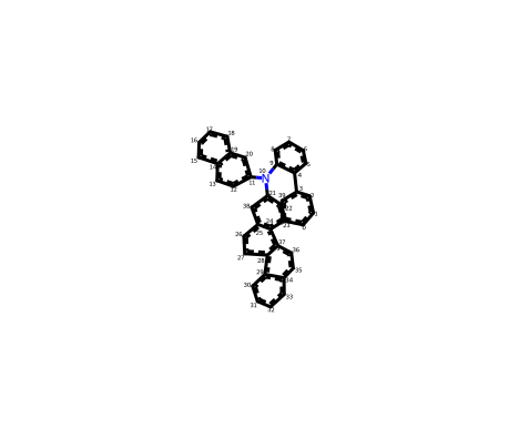 c1ccc(-c2ccccc2N(c2ccc3ccccc3c2)c2ccc3c(ccc4c5ccccc5ccc34)c2)cc1